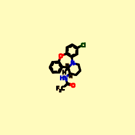 O=C(N[C@@H]1CCCN2c3cc(Cl)ccc3Oc3ccccc3[C@@H]12)C(F)(F)F